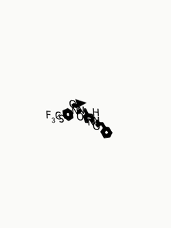 O=C(Cc1ccccc1)Nc1cc(CN2C(=O)N(c3ccc(SC(F)(F)F)cc3)C(=O)C23CC3)ccn1